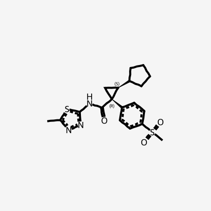 Cc1nnc(NC(=O)[C@]2(c3ccc(S(C)(=O)=O)cc3)C[C@H]2C2CCCC2)s1